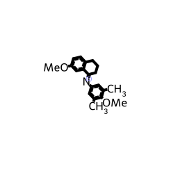 COc1ccc2c(c1)/C(=N/c1cc(C)c(OC)c(C)c1)CCC2